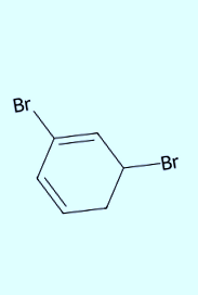 BrC1=CC(Br)CC=C1